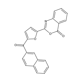 O=C(c1ccc2ccccc2c1)c1ccc(-c2nc3ccccc3c(=O)o2)o1